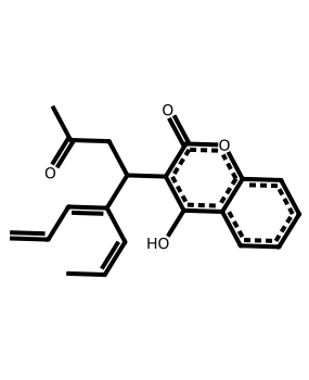 C=C/C=C(\C=C/C)C(CC(C)=O)c1c(O)c2ccccc2oc1=O